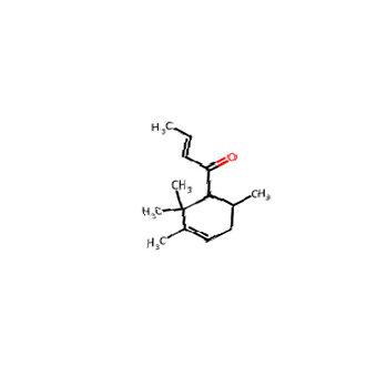 CC=CC(=O)C1C(C)CC=C(C)C1(C)C